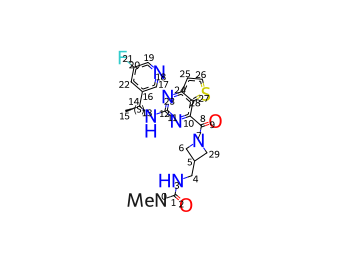 CNC(=O)NCC1CN(C(=O)c2nc(N[C@@H](C)c3cncc(F)c3)nc3ccsc23)C1